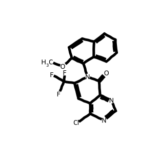 COc1ccc2ccccc2c1-n1c(C(F)(F)F)cc2c(Cl)ncnc2c1=O